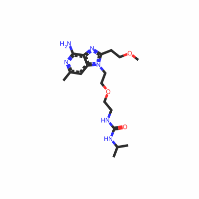 COCCc1nc2c(N)nc(C)cc2n1CCOCCNC(=O)NC(C)C